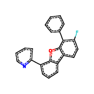 Fc1ccc2c(oc3c(-c4ccccn4)cccc32)c1-c1ccccc1